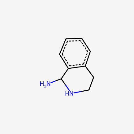 NC1NCCc2ccccc21